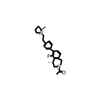 CC(=O)N1CCc2ccc(-c3ccc(CCN4CCC[C@H]4C)cc3)c(F)c2[C@@H](C)C1